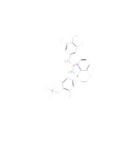 O=C(Nc1cc(F)c(O)c(F)c1)NC1(c2ccc(OC(F)(F)F)c(F)c2)CCOc2cccnc21